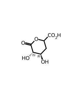 O=C(O)C1C[C@@H](O)[C@H](O)C(=O)O1